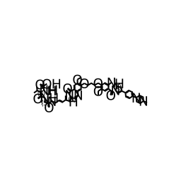 COc1cc2c(cc1OCCCOc1cc3c(cc1OC)C(=O)N1C=C(c4ccc(N5CCN(C)CC5)cc4)C[C@H]1C=N3)N=C[C@@H]1CC(C=CCNC(=O)[C@H](C)NC(=O)[C@H](NC(=O)O)C(C)C)=CN1C2=O